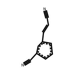 N#C/C=C/c1cccc(C#N)c1